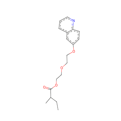 CCC(C)C(=O)OCCOCCOc1ccc2ncccc2c1